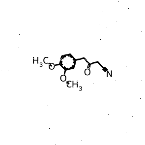 COc1ccc(CC(=O)CC#N)cc1OC